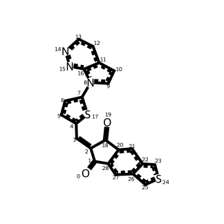 O=C1C(=Cc2ccc(-n3ccc4ccnnc43)s2)C(=O)c2cc3cscc3cc21